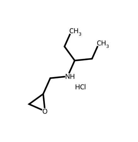 CCC(CC)NCC1CO1.Cl